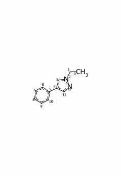 CCn1cc(-c2ccccc2)cn1